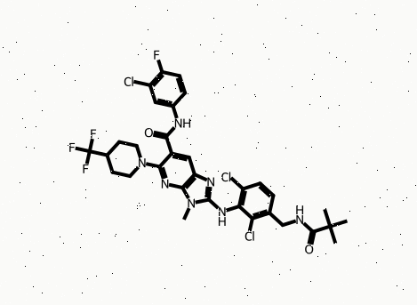 Cn1c(Nc2c(Cl)ccc(CNC(=O)C(C)(C)C)c2Cl)nc2cc(C(=O)Nc3ccc(F)c(Cl)c3)c(N3CCC(C(F)(F)F)CC3)nc21